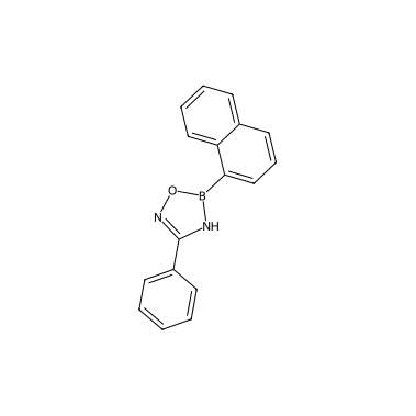 c1ccc(C2=NOB(c3cccc4ccccc34)N2)cc1